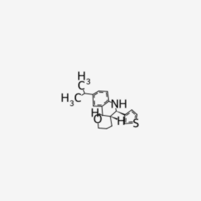 CC(C)c1ccc2c(c1)[C@H]1OCCC[C@H]1[C@H](c1ccsc1)N2